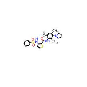 Cc1cc(C)c(N2CCCC2)c(C)c1NC(=O)c1sccc1NS(=O)(=O)c1ccccc1